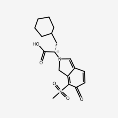 CS(=O)(=O)C1=C2CN([C@@H](CC3CCCCC3)C(=O)O)C=C2C=CC1=O